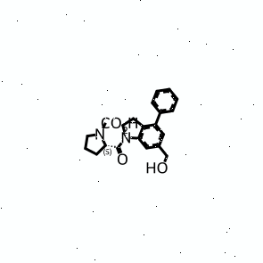 O=C([C@@H]1CCCN1C(=O)O)N1CCc2c(-c3ccccc3)cc(CO)cc21